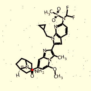 COc1cc(C(=O)N2C3CC[C@@H]2C[C@@H](N)C3)cc2nc(-c3cc4ccc(N(C(F)F)S(C)(=O)=O)nc4n3CC3CC3)c(C)n12